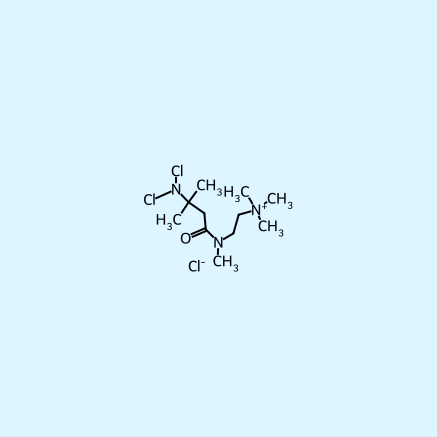 CN(CC[N+](C)(C)C)C(=O)CC(C)(C)N(Cl)Cl.[Cl-]